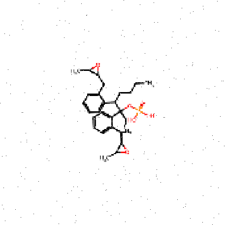 CCCCC(c1ccccc1CC1OC1C)C(CC)(OP(=O)(O)O)c1ccccc1CC1OC1C